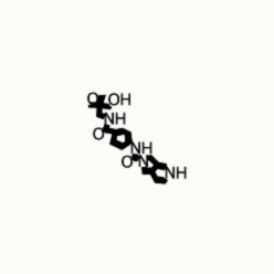 O=C(NCC1(CO)COC1)c1ccc(NC(=O)N2C=C3C=CNC=C3C2)cc1